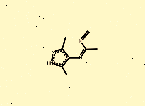 C=N/C(C)=N\c1c(C)n[nH]c1C